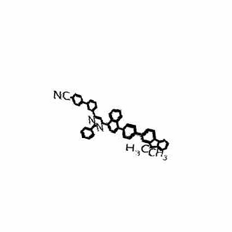 CC1(C)c2ccccc2-c2ccc(-c3ccc(-c4ccc(-c5cc(-c6cccc(-c7ccc(C#N)cc7)c6)nc(-c6ccccc6)n5)c5ccccc45)cc3)cc21